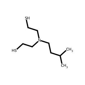 CC(C)CCN(CCS)CCS